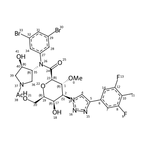 CO[C@@H]1[C@@H](n2cc(-c3cc(F)c(C)c(F)c3)nn2)[C@@H](O)[C@@H](CO)O[C@H]1C(=O)N(c1cc(Br)cc(Br)c1)[C@@H]1CN(C(C)=O)C[C@H]1O